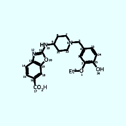 CCOc1cc(CN2CCC(Nc3nc4ccc(C(=O)O)cc4o3)CC2)ccc1O